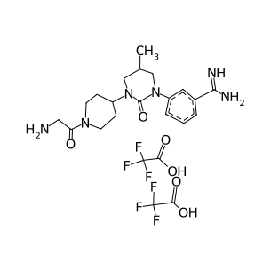 CC1CN(c2cccc(C(=N)N)c2)C(=O)N(C2CCN(C(=O)CN)CC2)C1.O=C(O)C(F)(F)F.O=C(O)C(F)(F)F